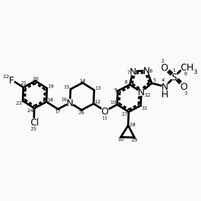 CS(=O)(=O)Nc1nnc2cc(OC3CCCN(Cc4ccc(F)cc4Cl)C3)c(C3CC3)cn12